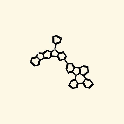 c1ccc(-n2c3ccc(-c4ccc5c(c4)c4cccc6c4n5-c4ccccc4-c4ccccc4-6)cc3c3cc4c(cc32)oc2ccccc24)cc1